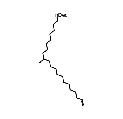 C=CCCCCCCCCCCC(C)CCCCCCCCCCCCCCCCCC